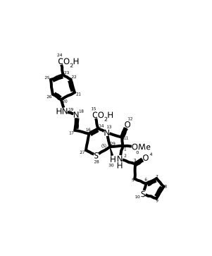 COC1(NC(=O)Cc2cccs2)C(=O)N2C(C(=O)O)=C(C=NNc3ccc(C(=O)O)cc3)CS[C@H]21